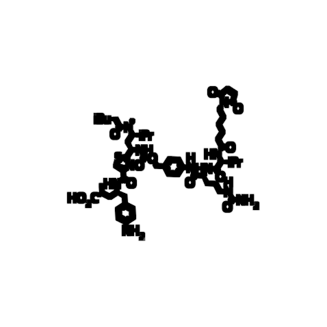 CC[C@H](C)CC(=O)N(C)[C@H](C[C@@H](NC(=O)OCc1ccc(NC(=O)[C@H](CCCNC(N)=O)NC(=O)[C@@H](NC(=O)CCCCCN2C(=O)C=CC2=O)C(C)C)cc1)c1nc(C(=O)N[C@@H](Cc2ccc(N)cc2)C[C@H](C)C(=O)O)cs1)C(C)C